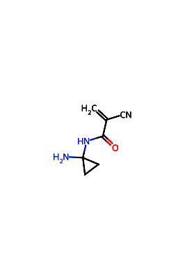 C=C(C#N)C(=O)NC1(N)CC1